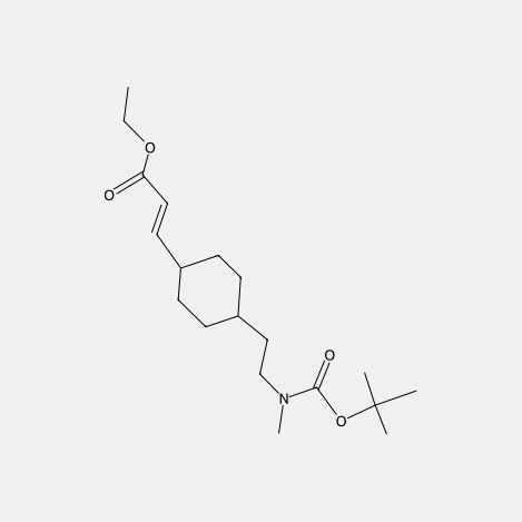 CCOC(=O)C=CC1CCC(CCN(C)C(=O)OC(C)(C)C)CC1